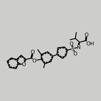 Cc1cc(-c2ccc(S(=O)(=O)/N=C(/C(=O)O)C(C)C)cc2)cc(C)c1OC(=O)c1cc2ccccc2o1